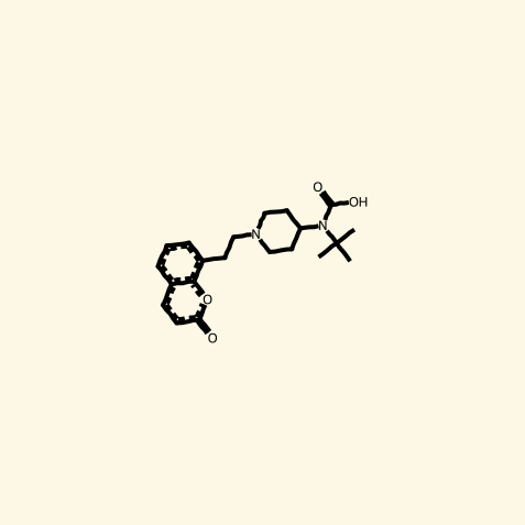 CC(C)(C)N(C(=O)O)C1CCN(CCc2cccc3ccc(=O)oc23)CC1